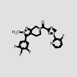 Cn1nc2c(c1-c1cc(F)c(F)c(F)c1)CCN(C(=O)c1ncn(-c3ncccc3F)n1)C2